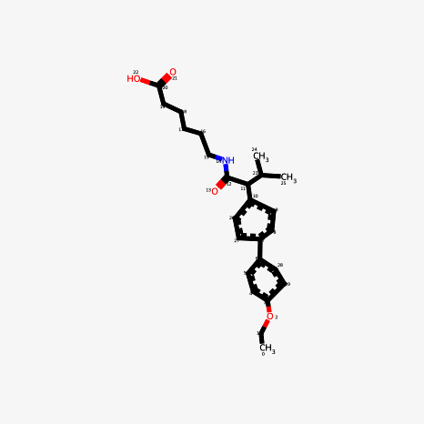 CCOc1ccc(-c2ccc(C(C(=O)NCCCCCC(=O)O)C(C)C)cc2)cc1